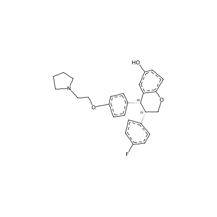 Oc1ccc2c(c1)[C@@H](c1ccc(OCCN3CCCC3)cc1)[C@@H](c1ccc(F)cc1)CO2